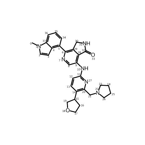 Cn1ccc2c(-c3ncc(Nc4ccc(C5CCOC5)c(CN5CCCC5)n4)c4c3CNC4=O)cccc21